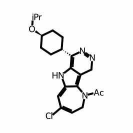 CC(=O)N1CC=C(Cl)C=c2[nH]c3c(c21)CN=NC=3[C@H]1CC[C@H](OC(C)C)CC1